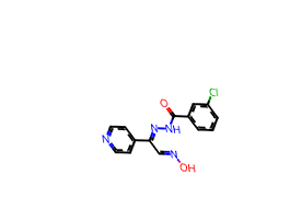 O=C(NN=C(C=NO)c1ccncc1)c1cccc(Cl)c1